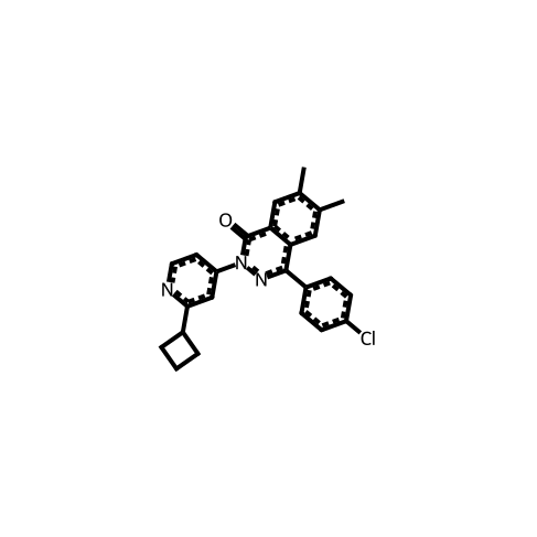 Cc1cc2c(-c3ccc(Cl)cc3)nn(-c3ccnc(C4CCC4)c3)c(=O)c2cc1C